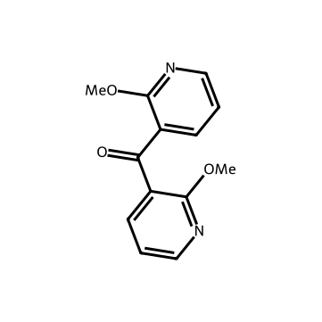 COc1ncccc1C(=O)c1cccnc1OC